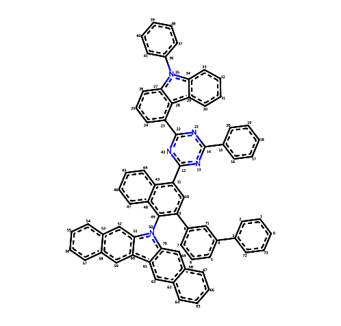 c1ccc(-c2cccc(-c3cc(-c4nc(-c5ccccc5)nc(-c5cccc6c5c5ccccc5n6-c5ccccc5)n4)c4ccccc4c3-n3c4cc5ccccc5cc4c4cc5ccccc5cc43)c2)cc1